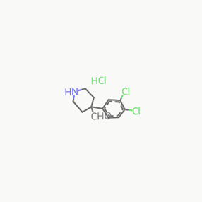 Cl.O=CC1(c2ccc(Cl)c(Cl)c2)CCNCC1